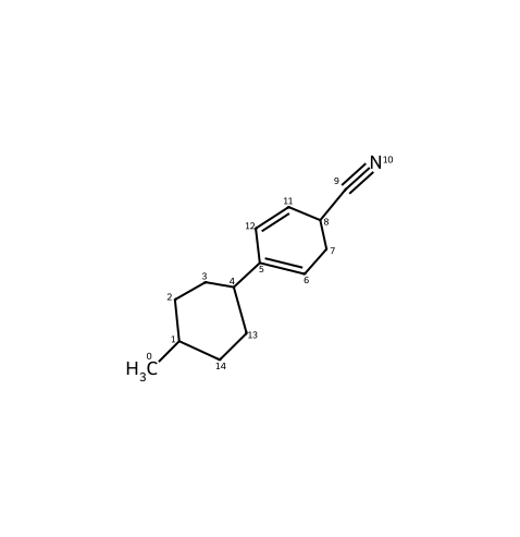 CC1CCC(C2=CCC(C#N)C=C2)CC1